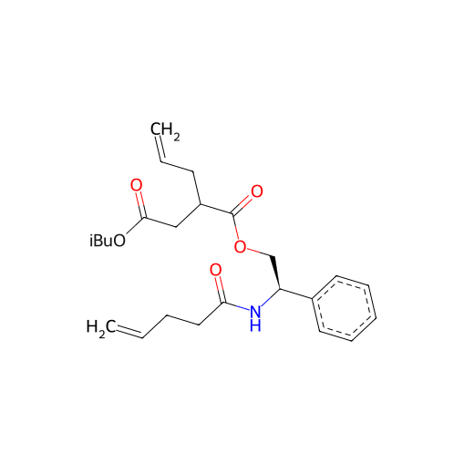 C=CCCC(=O)N[C@@H](COC(=O)C(CC=C)CC(=O)OCC(C)C)c1ccccc1